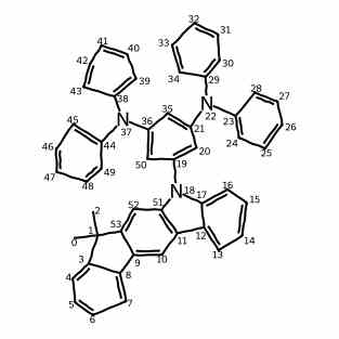 CC1(C)c2ccccc2-c2cc3c4ccccc4n(-c4cc(N(c5ccccc5)c5ccccc5)cc(N(c5ccccc5)c5ccccc5)c4)c3cc21